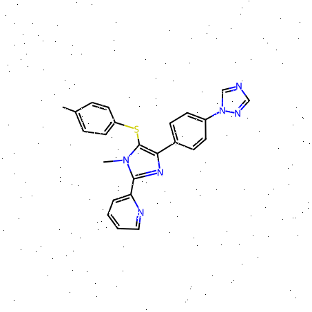 Cc1ccc(Sc2c(-c3ccc(-n4cncn4)cc3)nc(-c3ccccn3)n2C)cc1